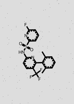 Cc1cccc(C)c1-c1nc(NS(=O)(=O)c2cccc(F)n2)ccc1C(F)(F)F